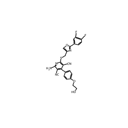 [C-]#[N+]c1c(N)nc(SCc2coc(-c3ccc(F)c(F)c3)n2)c(C#N)c1-c1ccc(OCCO)cc1